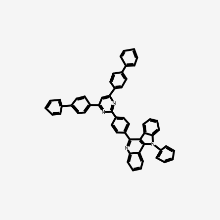 c1ccc(-c2ccc(-c3cc(-c4ccc(-c5ccccc5)cc4)nc(-c4ccc(-c5nc6ccccc6c6c5c5ccccc5n6-c5ccccc5)cc4)n3)cc2)cc1